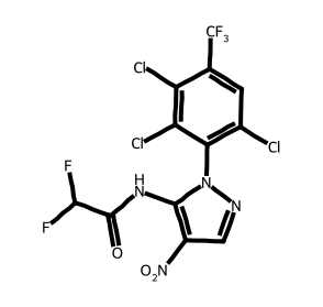 O=C(Nc1c([N+](=O)[O-])cnn1-c1c(Cl)cc(C(F)(F)F)c(Cl)c1Cl)C(F)F